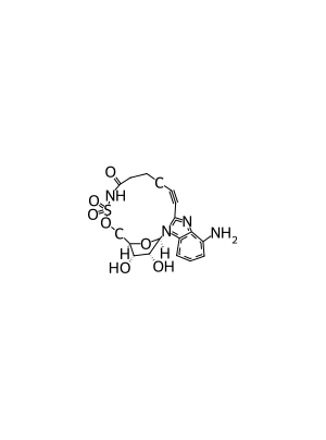 Nc1cccc2c1nc1n2[C@@H]2O[C@H](COS(=O)(=O)NC(=O)CCCC#C1)[C@@H](O)[C@H]2O